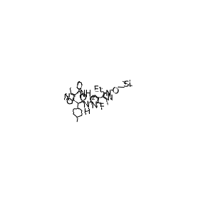 CCc1c(-c2ccc(NC(=O)C(c3onc(C)c3C(N)=O)C3CCC(C)CC3)nc2F)c(C)nn1COCC[Si](C)(C)C